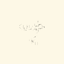 CC1(C)\C(=C/C=C/C=N/c2ccccc2)N(CCCCCC(=O)O)c2cc(F)cc(F)c21